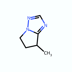 CC1CCn2ncnc21